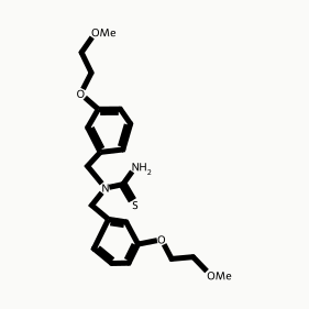 COCCOc1cccc(CN(Cc2cccc(OCCOC)c2)C(N)=S)c1